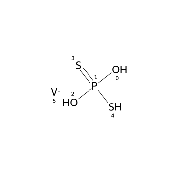 OP(O)(=S)S.[V]